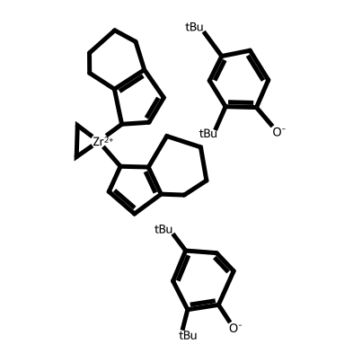 C1=C[CH]([Zr+2]2([CH]3C=CC4=C3CCCC4)[CH2][CH2]2)C2=C1CCCC2.CC(C)(C)c1ccc([O-])c(C(C)(C)C)c1.CC(C)(C)c1ccc([O-])c(C(C)(C)C)c1